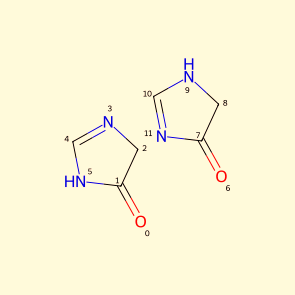 O=C1CN=CN1.O=C1CNC=N1